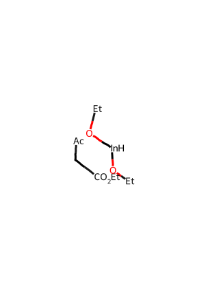 CCOC(=O)CC(C)=O.CC[O][InH][O]CC